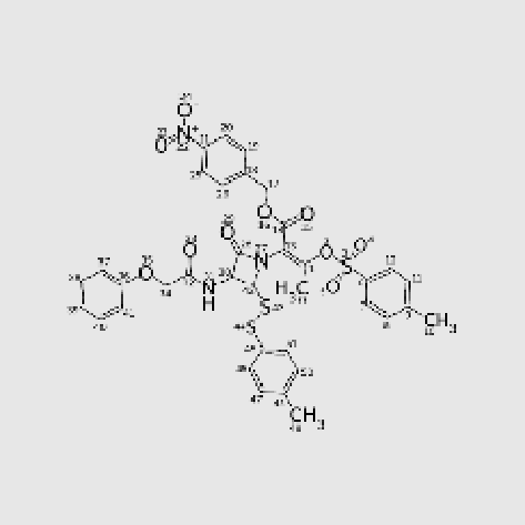 CC(OS(=O)(=O)c1ccc(C)cc1)=C(C(=O)OCc1ccc([N+](=O)[O-])cc1)N1C(=O)C(NC(=O)COc2ccccc2)C1SSc1ccc(C)cc1